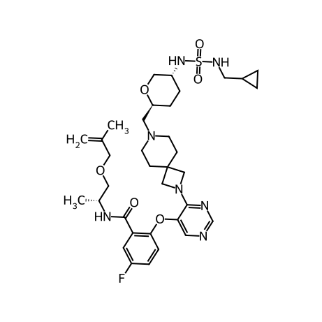 C=C(C)COC[C@@H](C)NC(=O)c1cc(F)ccc1Oc1cncnc1N1CC2(CCN(C[C@@H]3CC[C@@H](NS(=O)(=O)NCC4CC4)CO3)CC2)C1